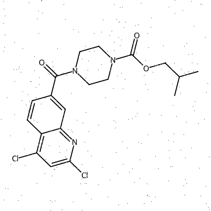 CC(C)COC(=O)N1CCN(C(=O)c2ccc3c(Cl)cc(Cl)nc3c2)CC1